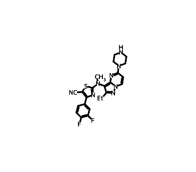 CCc1nn2ccc(N3CCNCC3)nc2c1N(C)c1nc(-c2ccc(F)c(F)c2)c(C#N)s1